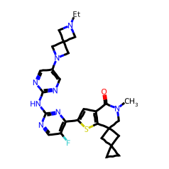 CCN1CC2(C1)CN(c1cnc(Nc3ncc(F)c(-c4cc5c(s4)C4(CN(C)C5=O)CC5(CC5)C4)n3)nc1)C2